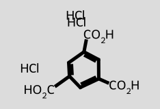 Cl.Cl.Cl.O=C(O)c1cc(C(=O)O)cc(C(=O)O)c1